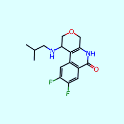 CC(C)CNC1COCc2[nH]c(=O)c3cc(F)c(F)cc3c21